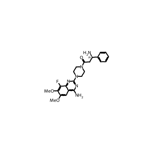 COc1cc2c(N)nc(N3CCN(C(=O)C[C@@H](N)c4ccccc4)CC3)nc2c(F)c1OC